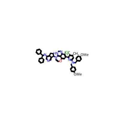 COc1ccc(CN(Cc2ccc(OC)cc2)c2cc(C)c(C(F)(F)F)c(-c3cc4c5c(c3Cl)=NCNC=5N(C3CCc5c(N=C(c6ccccc6)c6ccccc6)cncc53)C=CO4)n2)cc1